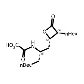 CCCCCCCCCCC[C@@H](C[C@@H]1OC(=O)[C@H]1CCCCCC)NC(=O)C(=O)O